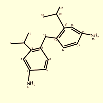 CC(C)c1cc(N)ccc1Cc1ccc(N)cc1C(C)C